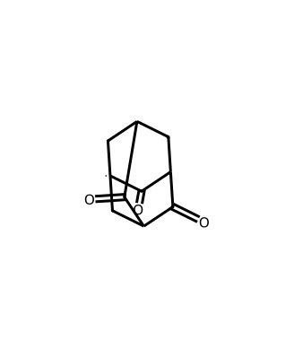 O=C1[C]2CC3CC1C(=O)C(C2)C3=O